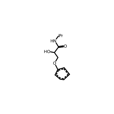 CC(C)NC(=O)C(O)COc1ccccc1